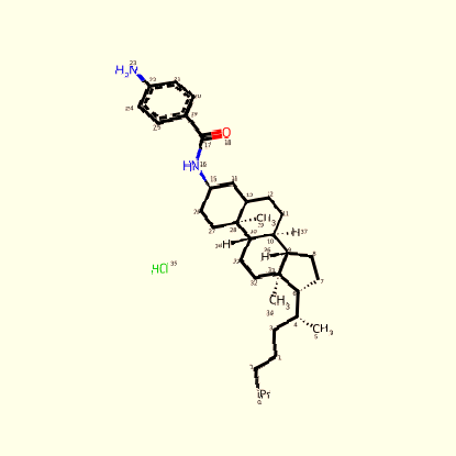 CC(C)CCC[C@@H](C)[C@H]1CC[C@H]2[C@@H]3CCC4C[C@H](NC(=O)c5ccc(N)cc5)CC[C@]4(C)[C@H]3CC[C@]12C.Cl